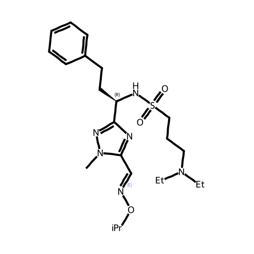 CCN(CC)CCCS(=O)(=O)N[C@H](CCc1ccccc1)c1nc(/C=N/OC(C)C)n(C)n1